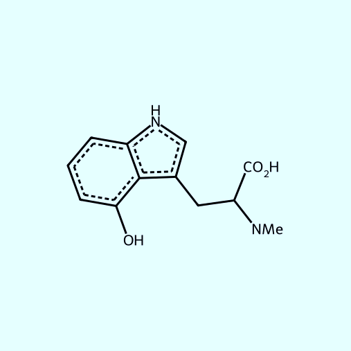 CNC(Cc1c[nH]c2cccc(O)c12)C(=O)O